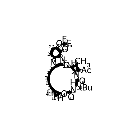 CC(=O)[C@@H]1C(C)[C@@H]2CN1C(=O)[C@H](C(C)(C)C)NC(=O)O[C@@H]1C[C@H]1CCCCCc1nc3ccc4c(c3nc1O2)OC(F)(F)O4